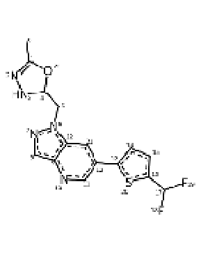 CC1=NNC(Cn2ncc3ncc(-c4ccc(C(F)F)s4)cc32)O1